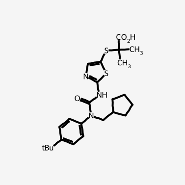 CC(C)(Sc1cnc(NC(=O)N(CC2CCCC2)c2ccc(C(C)(C)C)cc2)s1)C(=O)O